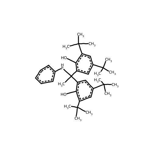 CC(C)(C)c1cc(C(C)(C)C)c(O)c(C(C)(Pc2ccccc2)c2cc(C(C)(C)C)cc(C(C)(C)C)c2O)c1